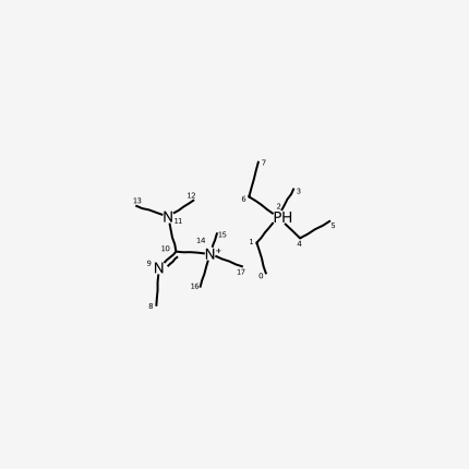 CC[PH](C)(CC)CC.CN=C(N(C)C)[N+](C)(C)C